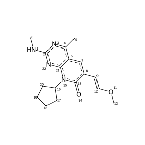 CNc1nc(C)c2cc(/C=C/OC)c(=O)n(C3CCCC3)c2n1